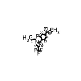 CC=Cn1cc(C(F)(F)F)nc1-c1ccc(C(=O)OC)cc1F